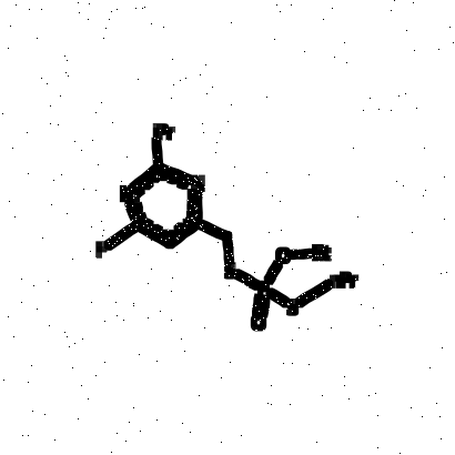 CCCSP(=O)(OCC)SCc1cc(F)nc(C(C)C)n1